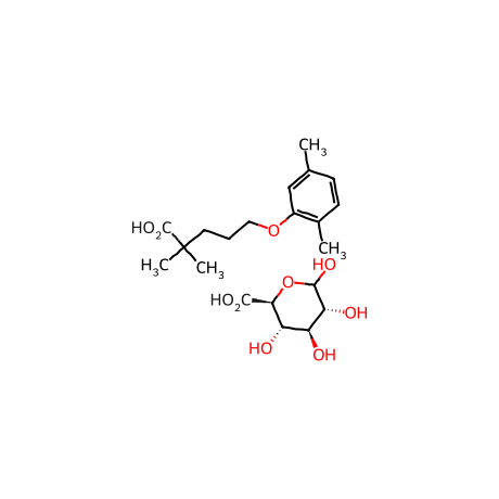 Cc1ccc(C)c(OCCCC(C)(C)C(=O)O)c1.O=C(O)[C@H]1OC(O)[C@H](O)[C@@H](O)[C@@H]1O